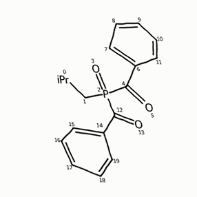 CC(C)CP(=O)(C(=O)c1ccccc1)C(=O)c1ccccc1